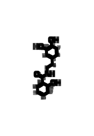 O=C(NCCc1ccc(O)c(O)c1)c1ccccc1O